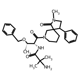 C[C@H](OCc1ccccc1)[C@@H](NC(=O)C(C)(C)N)C(=O)N1CCCC2(C1)C(=O)N(C)CC2c1ccccc1